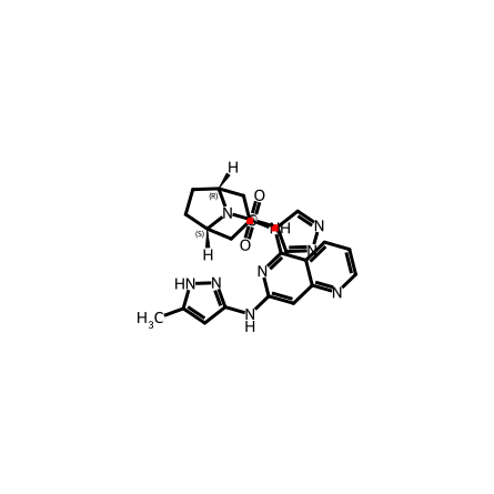 Cc1cc(Nc2cc3ncccc3c(N[C@@H]3C[C@H]4CC[C@@H](C3)N4S(=O)(=O)C3C=NN=C3)n2)n[nH]1